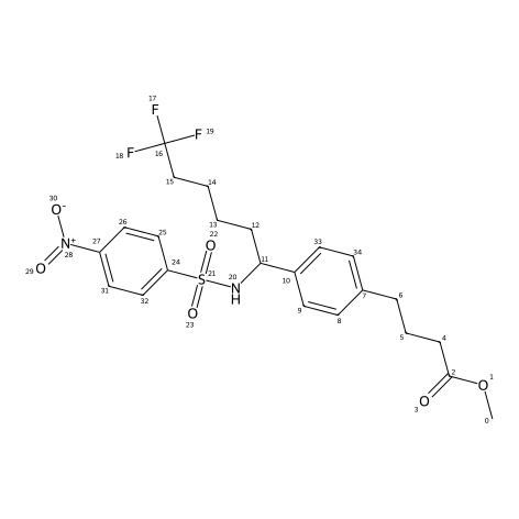 COC(=O)CCCc1ccc(C(CCCCC(F)(F)F)NS(=O)(=O)c2ccc([N+](=O)[O-])cc2)cc1